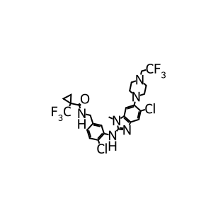 Cn1c(Nc2cc(CNC(=O)C3(C(F)(F)F)CC3)ccc2Cl)nc2cc(Cl)c(N3CCN(CC(F)(F)F)CC3)cc21